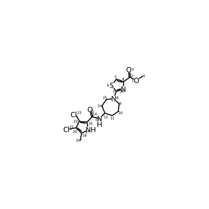 COC(=O)c1csc(N2CCCC(NC(=O)c3[nH]c(C)c(Cl)c3Cl)CC2)n1